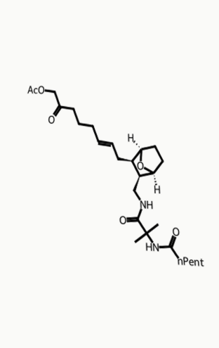 CCCCCC(=O)NC(C)(C)C(=O)NC[C@H]1[C@@H](CC=CCCCC(=O)COC(C)=O)[C@H]2CC[C@@H]1O2